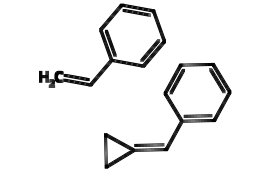 C(=C1CC1)c1ccccc1.C=Cc1ccccc1